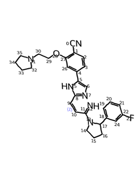 N#Cc1ccc(-c2cnc(/C=C\C(=N)N3CCCC3c3cccc(F)c3)[nH]2)cc1OCCN1CCCC1